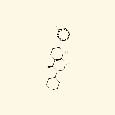 O=C1C2=C(NCN1C1CCOCC1)N[C@@H](c1cccc(F)c1)[C@@H](F)C2